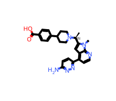 C[C@@H](c1cc2c(-c3ccc(N)nn3)ccnc2n1C)N1CCC(c2ccc(C(=O)O)cc2)CC1